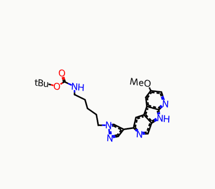 COc1cnc2[nH]c3cnc(-c4cnn(CCCCCNC(=O)OC(C)(C)C)c4)cc3c2c1